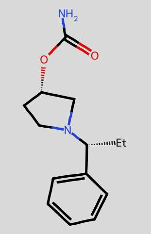 CC[C@H](c1ccccc1)N1CC[C@H](OC(N)=O)C1